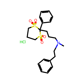 CN(CCCC1(c2ccccc2)S(=O)(=O)CCCS1(=O)=O)CCc1ccccc1.Cl